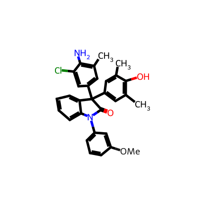 COc1cccc(N2C(=O)C(c3cc(C)c(O)c(C)c3)(c3cc(C)c(N)c(Cl)c3)c3ccccc32)c1